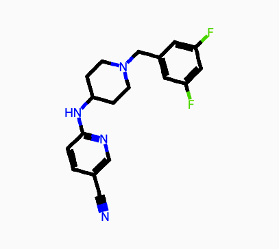 N#Cc1ccc(NC2CCN(Cc3cc(F)cc(F)c3)CC2)nc1